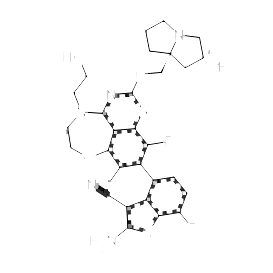 C[C@H]1COc2c(Cl)c(-c3ccc(F)c4sc(N)c(C#N)c34)c(F)c3nc(OC[C@@]45CCCN4C[C@H](F)C5)nc(c23)N1CCO